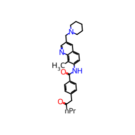 CCCC(=O)Cc1ccc(C(=O)Nc2ccc3cc(CN4CCCCC4)cnc3c2C)cc1